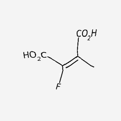 C/C(C(=O)O)=C(\F)C(=O)O